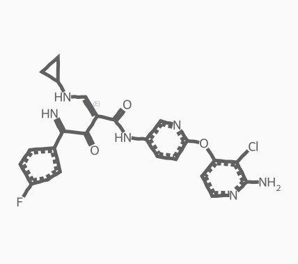 N=C(C(=O)/C(=C\NC1CC1)C(=O)Nc1ccc(Oc2ccnc(N)c2Cl)nc1)c1ccc(F)cc1